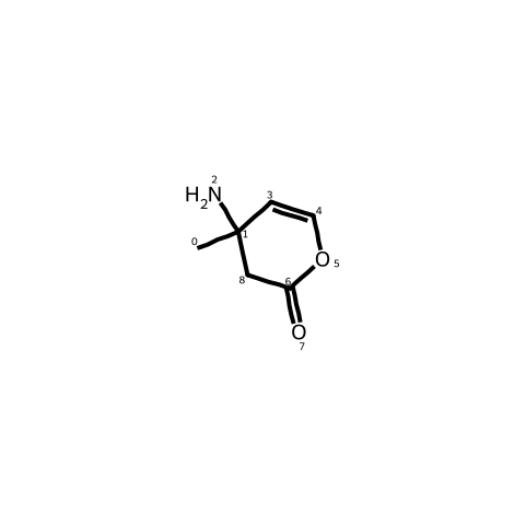 CC1(N)C=COC(=O)C1